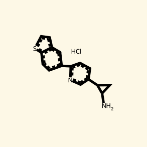 Cl.NC1CC1c1ccc(-c2ccc3sccc3c2)nc1